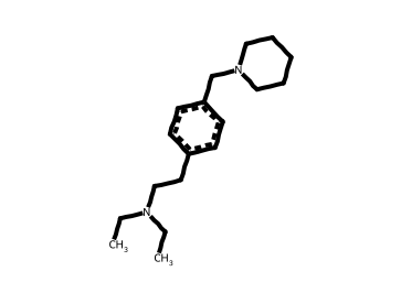 CCN(CC)CCc1ccc(CN2CCCCC2)cc1